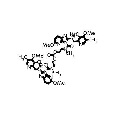 COc1ccc2nc([S+]([O-])Cc3ncc(C)c(OC)c3C)n(C(=O)N(C)CCOC(=O)OCCN(C)C(=O)n3c([S+]([O-])Cc4ncc(C)c(OC)c4C)nc4ccc(OC)nc43)c2n1